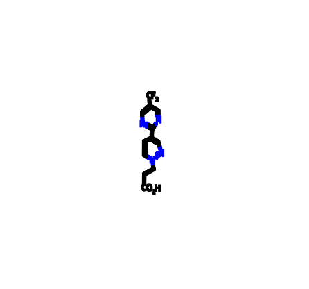 O=C(O)CC[n+]1ccc(-c2ncc(C(F)(F)F)cn2)cn1